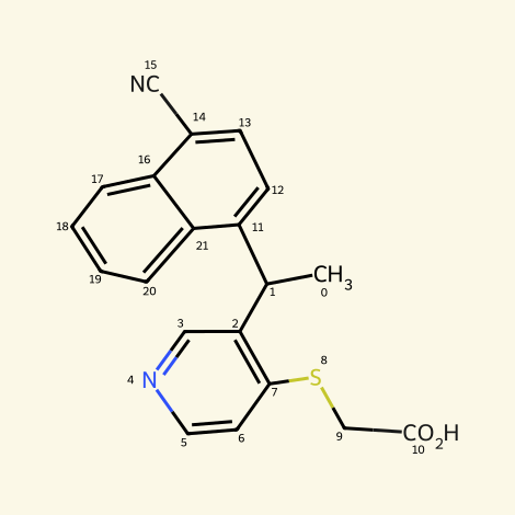 CC(c1cnccc1SCC(=O)O)c1ccc(C#N)c2ccccc12